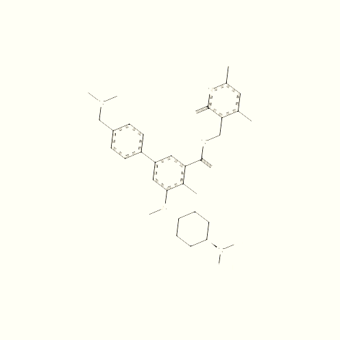 Cc1cc(C)c(CNC(=O)c2cc(-c3ccc(CN(C)C)cc3)cc(N(C)[C@H]3CC[C@H](N(C(=O)O)C(C)(C)C)CC3)c2C)c(=O)[nH]1